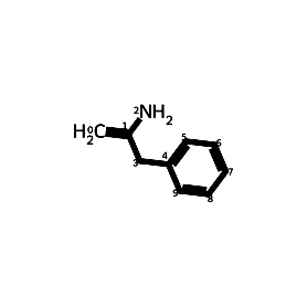 C=C(N)Cc1c[c]ccc1